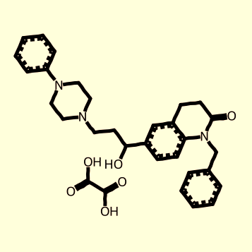 O=C(O)C(=O)O.O=C1CCc2cc(C(O)CCN3CCN(c4ccccc4)CC3)ccc2N1Cc1ccccc1